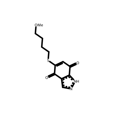 COCCCCSC1=CC(=O)c2[nH]ncc2C1=O